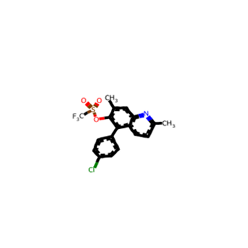 Cc1ccc2c(-c3ccc(Cl)cc3)c(OS(=O)(=O)C(F)(F)F)c(C)cc2n1